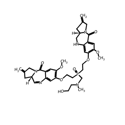 C=C1C[C@H]2CNc3cc(OCCP(=O)(CCOc4cc5c(cc4OC)C(=O)N4CC(=C)C[C@H]4C=N5)CN(C)CCO)c(OC)cc3C(=O)N2C1